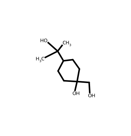 CC(C)(O)C1CCC(O)(CO)CC1